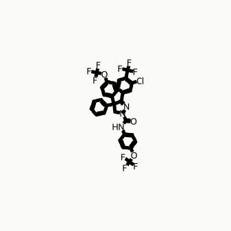 O=C(Nc1ccc(OC(F)(F)F)cc1)N1CC(c2ccccc2)(c2ccc(OC(F)(F)F)cc2)C(c2ccc(C(F)(F)F)c(Cl)c2)=N1